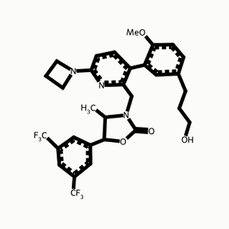 COc1ccc(CCCO)cc1-c1ccc(N2CCC2)nc1CN1C(=O)OC(c2cc(C(F)(F)F)cc(C(F)(F)F)c2)C1C